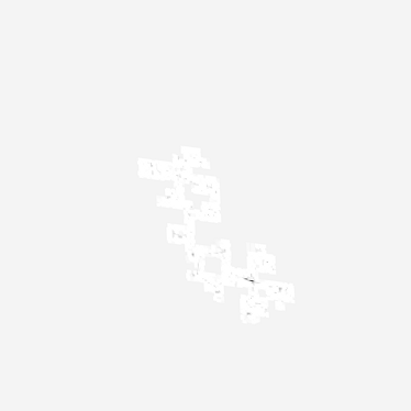 CC(C)(C)OC(=O)N[C@H]1CC[C@H](C(C)(C)O)C1